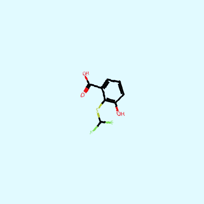 O=C(O)c1cccc(O)c1SC(F)F